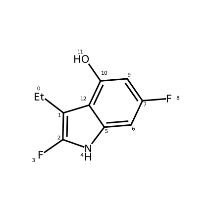 CCc1c(F)[nH]c2cc(F)cc(O)c12